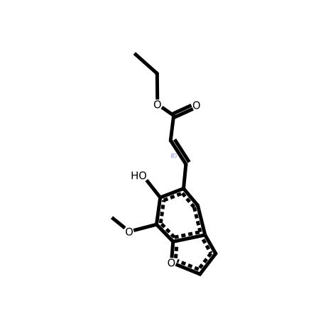 CCOC(=O)/C=C/c1cc2ccoc2c(OC)c1O